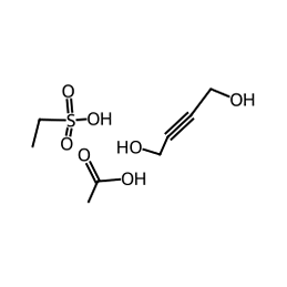 CC(=O)O.CCS(=O)(=O)O.OCC#CCO